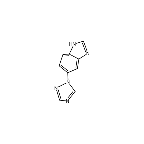 c1ncn(-c2ccc3[nH]cnc3c2)n1